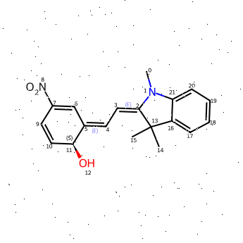 CN1/C(=C/C=C2\C=C([N+](=O)[O-])C=C[C@@H]2O)C(C)(C)c2ccccc21